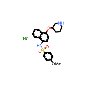 COc1ccc(S(=O)(=O)Nc2ccc(OC3CCCNC3)c3ccccc23)cc1.Cl